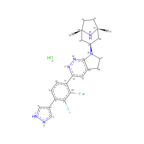 Cl.Fc1c(-c2cn[nH]c2)ccc(-c2cc3c(nn2)N([C@@H]2C[C@H]4CC[C@@H](C2)N4)CC3)c1F